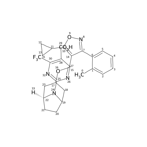 Cc1ccccc1-c1noc(C2CC2)c1COC1CC2CC[C@@H](C1)N2c1ncc(C(=O)O)c(C(F)(F)F)n1